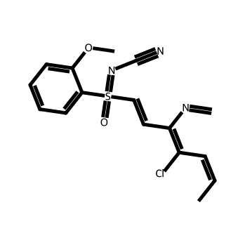 C=NC(/C=C/S(=O)(=NC#N)c1ccccc1OC)=C(Cl)\C=C/C